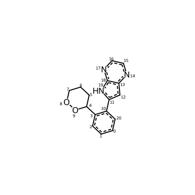 c1ccc(C2CCCOO2)c(-c2cc3nccnc3[nH]2)c1